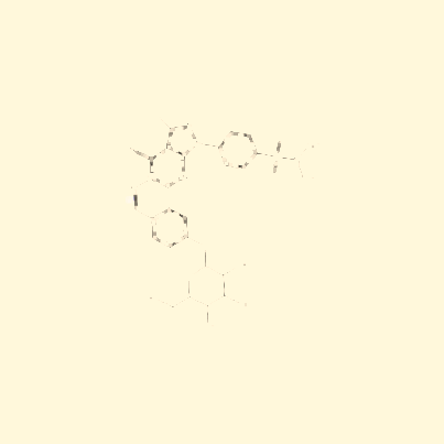 CCCN(CCC)S(=O)(=O)c1ccc(-n2nc(C)c3c(=N)n(/N=C\c4ccc(OC5OC(CO)C(O)C(O)C5O)cc4)cnc32)cc1